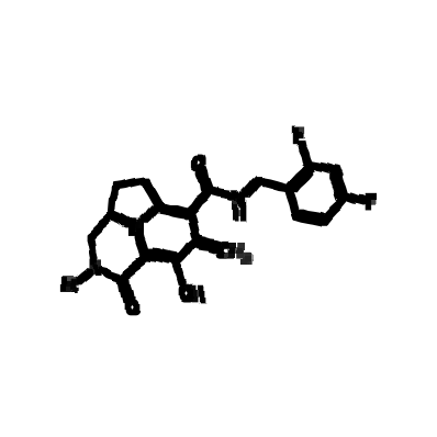 C=C1C(O)=C2C(=O)N(CC)CC3CCC(=C1C(=O)NCc1ccc(F)cc1F)N23